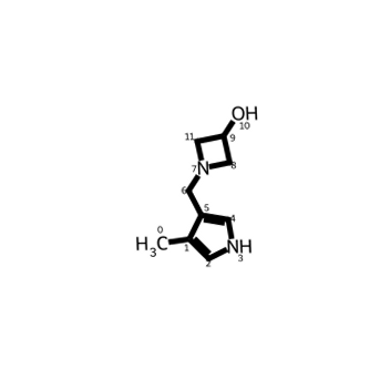 Cc1c[nH]cc1CN1CC(O)C1